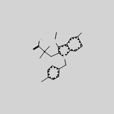 CSc1c(CC(C)(C)C(=O)O)n(Cc2ccc(Cl)cc2)c2ccc(F)cc12